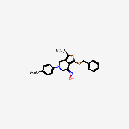 CCOC(=O)c1sc(SCc2ccccc2)c2c1CN(c1ccc(OC)cc1)CC2=NO